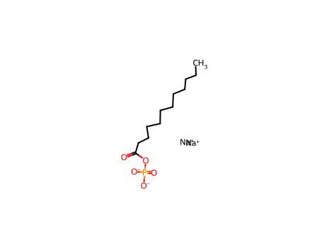 CCCCCCCCCCCC(=O)OP(=O)([O-])[O-].[Na+].[Na+]